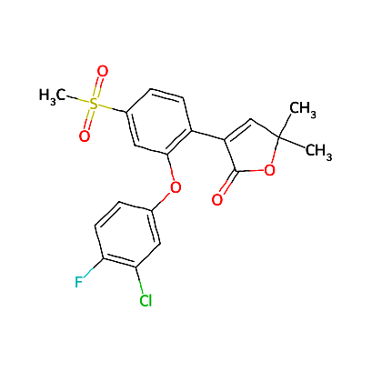 CC1(C)C=C(c2ccc(S(C)(=O)=O)cc2Oc2ccc(F)c(Cl)c2)C(=O)O1